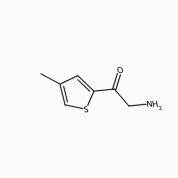 Cc1csc(C(=O)CN)c1